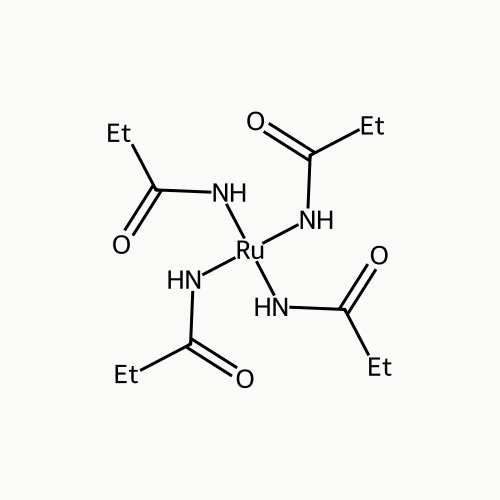 CCC(=O)[NH][Ru]([NH]C(=O)CC)([NH]C(=O)CC)[NH]C(=O)CC